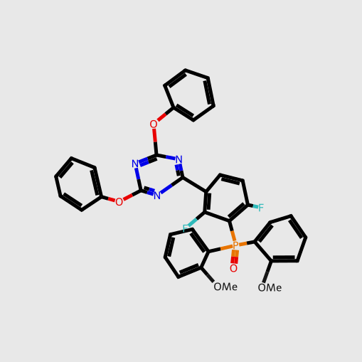 COc1ccccc1P(=O)(c1ccccc1OC)c1c(F)ccc(-c2nc(Oc3ccccc3)nc(Oc3ccccc3)n2)c1F